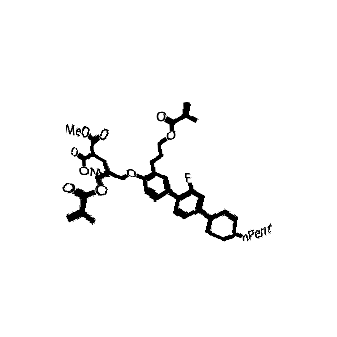 C=C(C)C(=O)OCCCc1cc(-c2ccc(C3CCC(CCCCC)CC3)cc2F)ccc1OCC(COC(=O)C(=C)C)CC(C(=O)OC)C(=O)OC